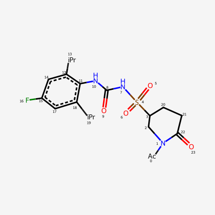 CC(=O)N1CC(S(=O)(=O)NC(=O)Nc2c(C(C)C)cc(F)cc2C(C)C)CCC1=O